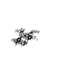 COC(=O)C[C@H](NC(=O)CNC(=O)c1cc(NC2=NCC(F)CN2)c2c(F)n[nH]c2c1)c1cc(Cl)cc(C(F)(F)F)c1.O=C(O)C(F)(F)F